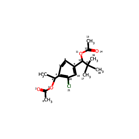 CC(=O)OC(C)c1ccc(C(OC(C)=O)C(C)(C)C)cc1Cl